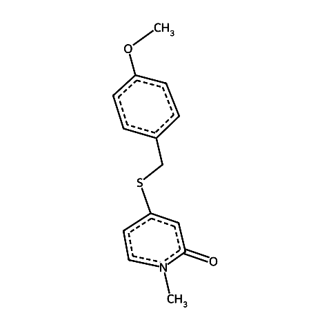 COc1ccc(CSc2ccn(C)c(=O)c2)cc1